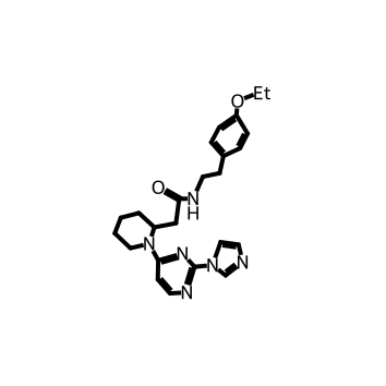 CCOc1ccc(CCNC(=O)CC2CCCCN2c2ccnc(-n3ccnc3)n2)cc1